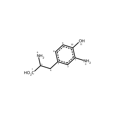 Nc1cc(CC(N)C(=O)O)ccc1O